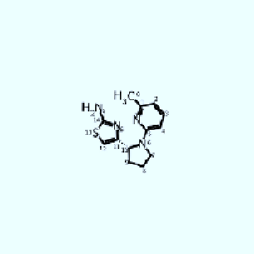 Cc1cccc(N2CCC[C@@H]2c2csc(N)n2)n1